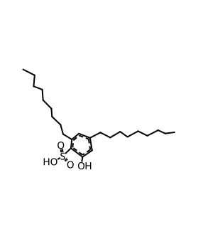 CCCCCCCCCc1cc(O)c(S(=O)(=O)O)c(CCCCCCCCC)c1